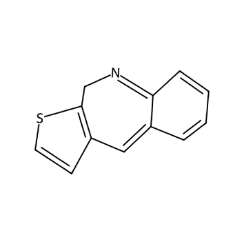 C1=c2ccccc2=NCc2sccc21